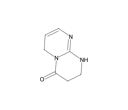 O=C1CCNC2=NC=CCN12